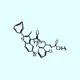 Cc1c(-c2ccccc2)nc2ccc(Br)cc2c1C(=O)NCC(CCC(=O)O)c1c(F)cccc1Cl